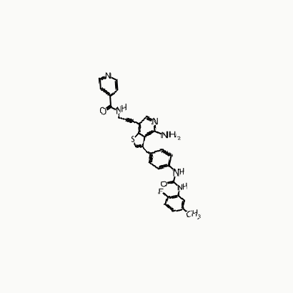 Cc1ccc(F)c(NC(=O)Nc2ccc(-c3csc4c(C#CCNC(=O)c5ccncc5)cnc(N)c34)cc2)c1